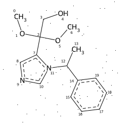 COC(CO)(OC)c1cncn1C(C)c1ccccc1